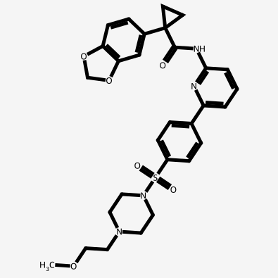 COCCN1CCN(S(=O)(=O)c2ccc(-c3cccc(NC(=O)C4(c5ccc6c(c5)OCO6)CC4)n3)cc2)CC1